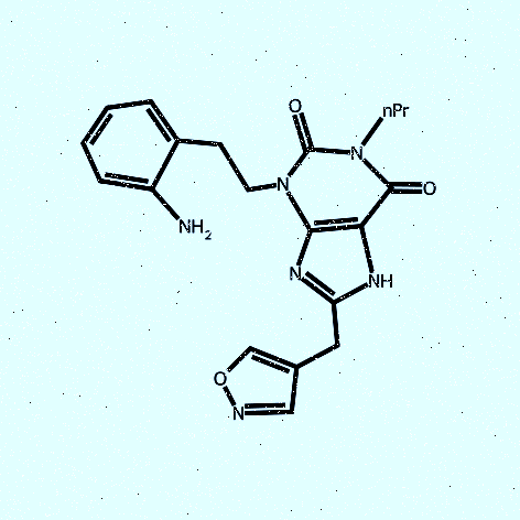 CCCn1c(=O)c2[nH]c(Cc3cnoc3)nc2n(CCc2ccccc2N)c1=O